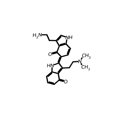 CN(C)CCc1c2c([nH]c1=C1C=Cc3[nH]cc(CCN)c3C1=O)=CC=CC2=O